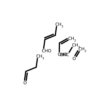 C/C=C/C=O.C=CC=O.C=O.CC=O.CCC=O